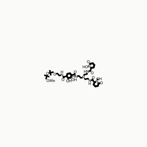 COCC(C)(C)OC(C)(C)COCCNC(=O)c1ccc(C(=O)NCCN(CCNC(=O)c2cccc(=O)n2O)CCNC(=O)c2cccc(=O)n2O)c(O)c1O